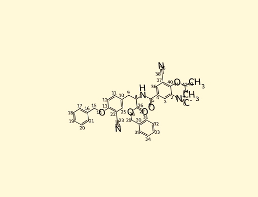 [C-]#[N+]c1cc(C(=O)NC(Cc2ccc(OCc3ccccc3)c(C#N)c2)C(=O)OCc2ccccc2)cc(C#N)c1OC(C)C